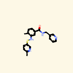 Cc1ccc(SNc2cc(C(=O)NCc3cccnc3)ccc2C)cn1